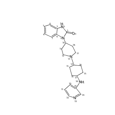 O=c1[nH]c2ccccc2n1C1CCN(C2CCC(Nc3cccnc3)CC2)CC1